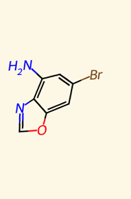 Nc1cc(Br)cc2ocnc12